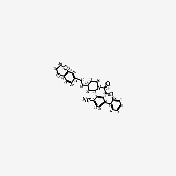 N#Cc1ccc(-c2ccccc2OCC(=O)N2CCC(CCc3ccc4c(c3)OCCO4)CC2)cc1